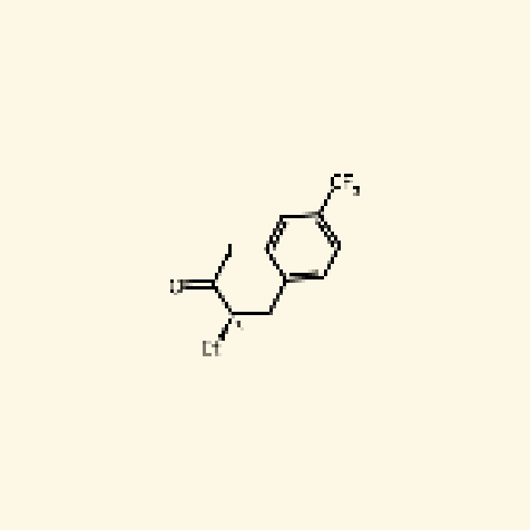 CC[C@H](Cc1ccc(C(F)(F)F)cc1)C(=O)I